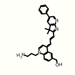 CC1(C)C(C=CC=C2C=CN(CCCN)c3ccc(CO)cc32)=Nc2ncc(-c3ccccc3)cc21